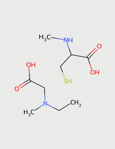 CCN(C)CC(=O)O.CNC(CS)C(=O)O